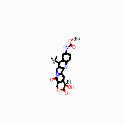 CC[C@@]1(O)C(=O)OCc2c1cc1n(c2=O)Cc2c-1nc1ccc(NC(=O)OC(C)(C)C)cc1c2[Si](C)(C)C